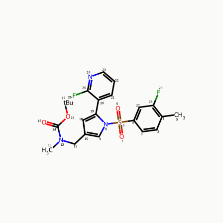 Cc1ccc(S(=O)(=O)n2cc(CN(C)C(=O)OC(C)(C)C)cc2-c2cccnc2F)cc1F